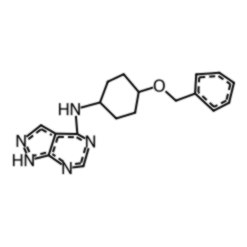 c1ccc(COC2CCC(Nc3ncnc4[nH]ncc34)CC2)cc1